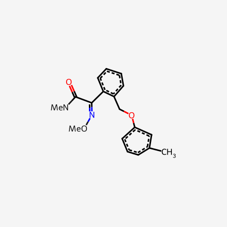 CNC(=O)C(=NOC)c1ccccc1COc1cccc(C)c1